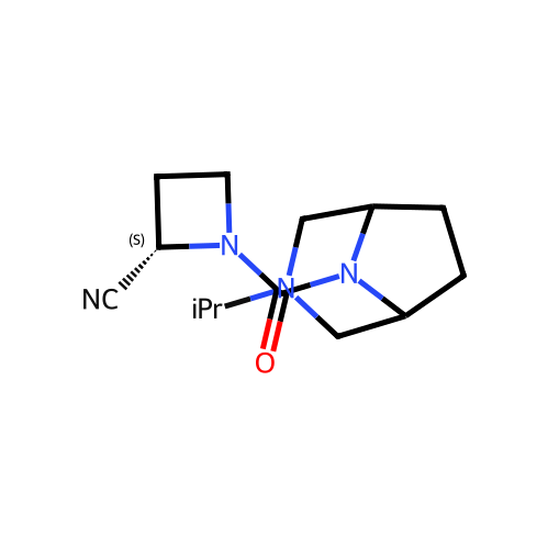 CC(C)N1CC2CCC(C1)N2C(=O)N1CC[C@H]1C#N